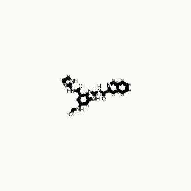 O=CNc1cc(C(=O)Nc2ncc[nH]2)c2nc(NC(=O)c3cc4ccccc4cn3)[nH]c2c1